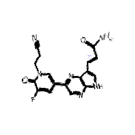 N#CCCn1cc(-c2cnc3[nH]cc(/C=C/C(N)=O)c3n2)cc(F)c1=O